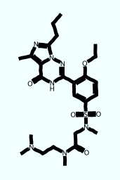 CCCc1nc(C)c2c(=O)[nH]c(-c3cc(S(=O)(=O)N(C)CC(=O)N(C)CCN(C)C)ccc3OCC)nn12